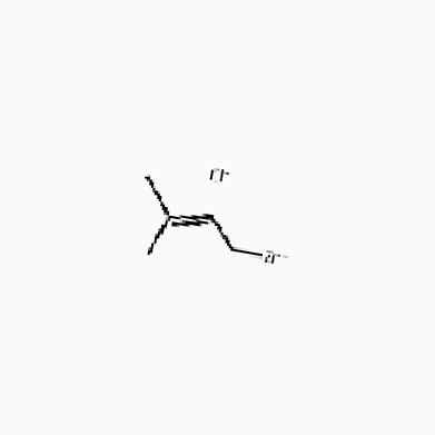 CC(C)=C[CH2][Zn+].[Cl-]